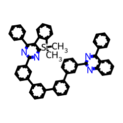 C[Si]1(C)c2ccccc2-c2c(-c3ccccc3)nc(-c3cccc(-c4cccc(-c5cccc(-c6cccc(-c7nc(-c8ccccc8)c8ccccc8n7)c6)c5)c4)c3)nc21